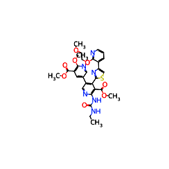 CCNC(=O)Nc1ncc(-c2cnc(OC)c(C(=O)OC)c2)c(-c2nc(-c3cccnc3OCCOC)cs2)c1C(=O)OC